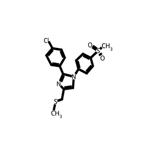 CSCc1cn(-c2ccc(S(C)(=O)=O)cc2)c(-c2ccc(Cl)cc2)n1